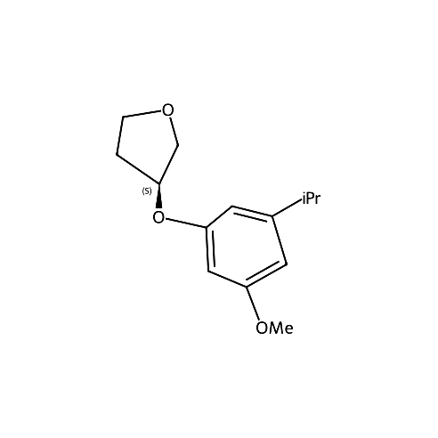 COc1cc(O[C@H]2CCOC2)cc(C(C)C)c1